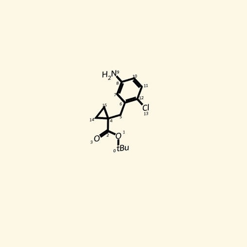 CC(C)(C)OC(=O)C1(Cc2cc(N)ccc2Cl)CC1